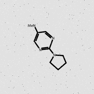 CNc1cnc(N2CCCC2)nc1